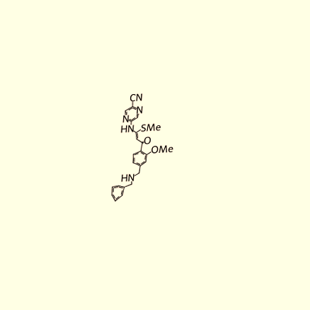 COc1cc(CNCc2ccccc2)ccc1C(=O)/C=C(/Nc1cnc(C#N)cn1)SC